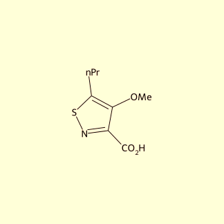 CCCc1snc(C(=O)O)c1OC